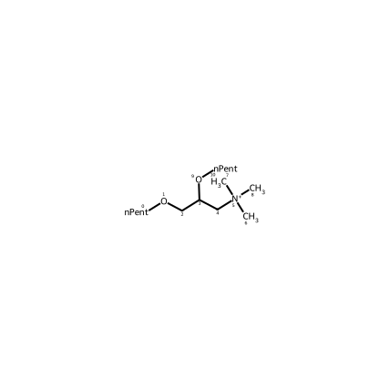 CCCCCOCC(C[N+](C)(C)C)OCCCCC